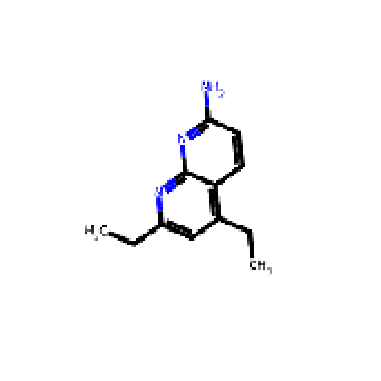 CCc1cc(CC)c2ccc(N)nc2n1